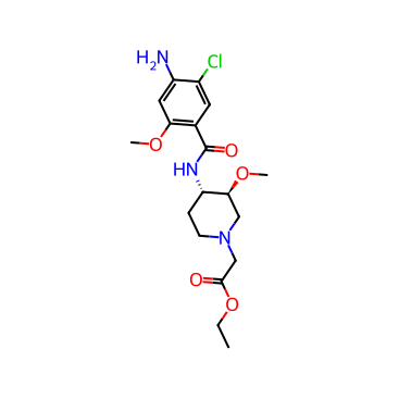 CCOC(=O)CN1CC[C@H](NC(=O)c2cc(Cl)c(N)cc2OC)[C@@H](OC)C1